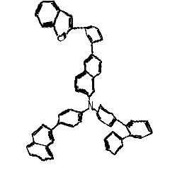 c1ccc(-c2ccccc2-c2ccc(N(c3ccc(-c4ccc5ccccc5c4)cc3)c3ccc4cc(-c5cccc(-c6cc7ccccc7o6)c5)ccc4c3)cc2)cc1